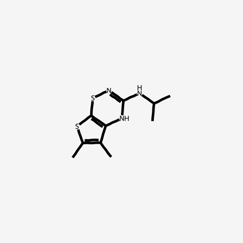 Cc1sc2c(c1C)NC(NC(C)C)=NS2